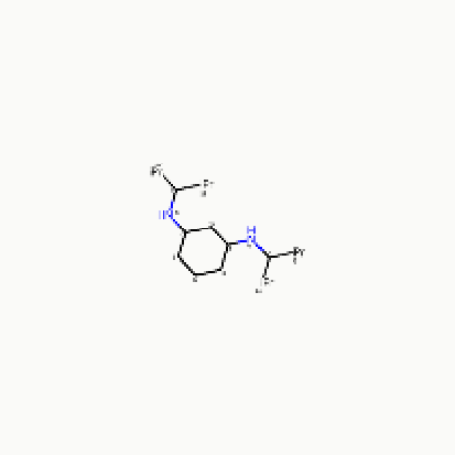 CC(C)C(NC1CCCC(NC(C(C)C)C(C)C)C1)C(C)C